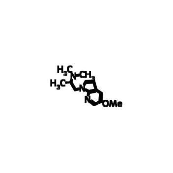 COc1cnc2c(ccn2C[C@@H](C)N(C)C)c1